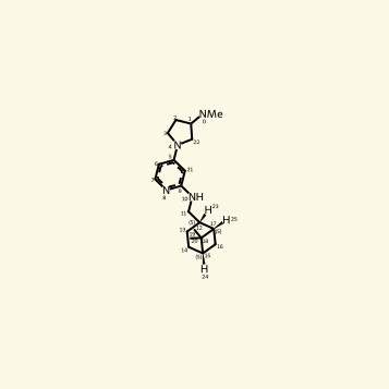 CNC1CCN(c2ccnc(NC[C@H]3CC[C@H]4C[C@@H]3C4(C)C)c2)C1